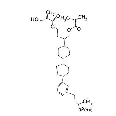 C=C(C)C(=O)OCC(CCOC(=O)C(=C)CO)C1CCC(C2CCC(c3cccc(CCC(C)CCCCC)c3)CC2)CC1